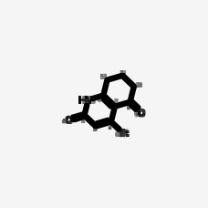 CCc1cc(=O)[nH]c2c1C(=O)CCC2